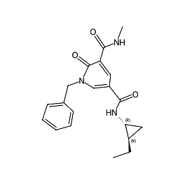 CC[C@@H]1C[C@H]1NC(=O)c1cc(C(=O)NC)c(=O)n(Cc2ccccc2)c1